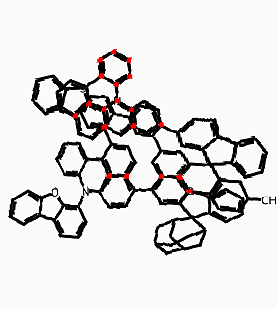 CC1C=CC2=C(C1)C1(c3cc(-c4cccc(-c5ccccc5-c5ccccc5-c5ccccc5N(c5ccc(-c6ccc7c(c6)C6(c8ccccc8-7)C7CC8CC(C7)CC6C8)cc5)c5cccc6c5oc5ccccc56)c4)ccc3O2)c2ccccc2-c2ccc(-c3ccc(N(c4ccccc4-c4ccccc4-c4ccccc4-c4ccccc4)c4cccc5c4sc4ccccc45)cc3)cc21